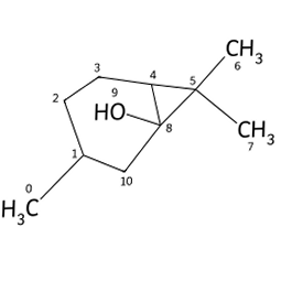 CC1CCC2C(C)(C)C2(O)C1